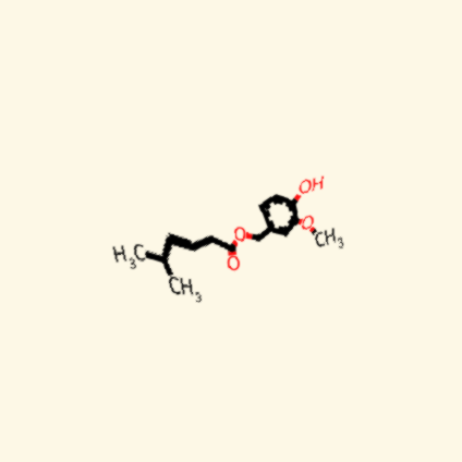 COc1cc(COC(=O)C/C=C/C(C)C)ccc1O